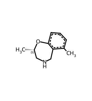 Cc1cccc2c1CNC[C@H](C)O2